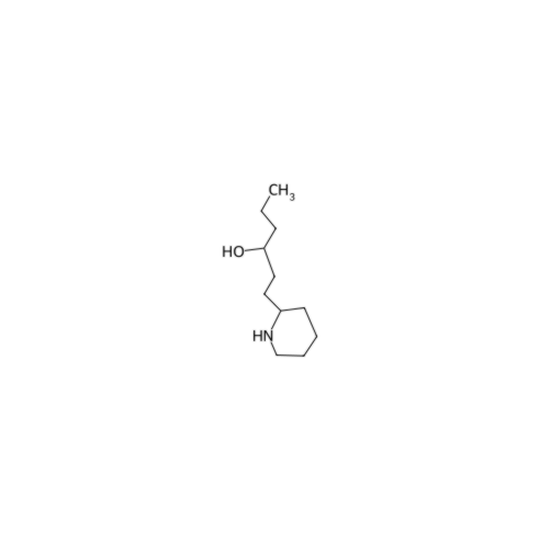 CCCC(O)CCC1CCCCN1